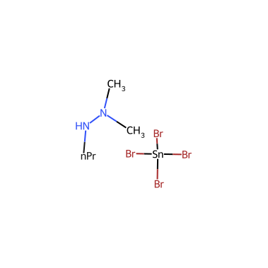 CCCNN(C)C.[Br][Sn]([Br])([Br])[Br]